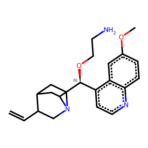 C=CC1CN2CCC1CC2[C@@H](OCCN)c1ccnc2ccc(OC)cc12